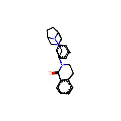 O=C1c2ccccc2CCN1CCN1CC2CCC(C1)N2c1ccccc1